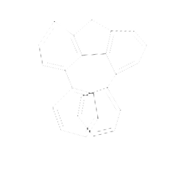 [CH]1c2cccc(-c3ccccc3)c2-c2c1cccc2-c1ccccc1